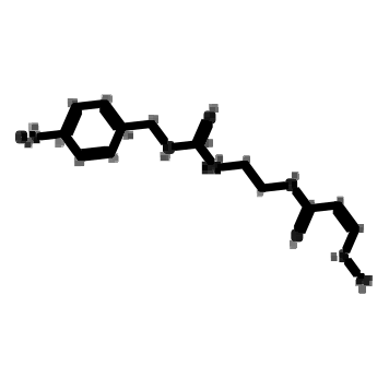 CC(=O)S/C=C\C(=O)OCCNC(=O)OCc1ccc([N+](=O)[O-])cc1